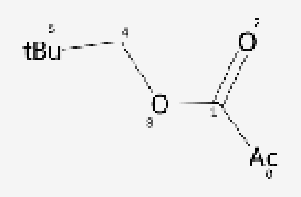 CC(=O)C(=O)OCC(C)(C)C